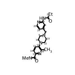 CCC(=O)Nc1cc(CN2CCN(c3ccc(C(=O)NC)nc3C)CC2)ccn1